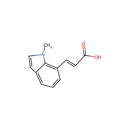 Cn1ccc2cccc(C=CC(=O)O)c21